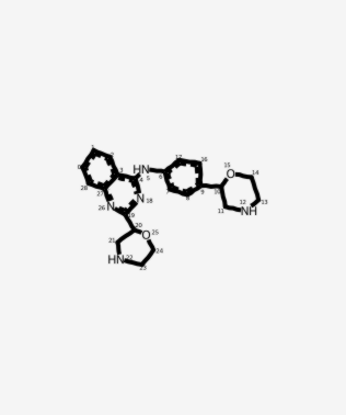 c1ccc2c(Nc3ccc(C4CNCCO4)cc3)nc(C3CNCCO3)nc2c1